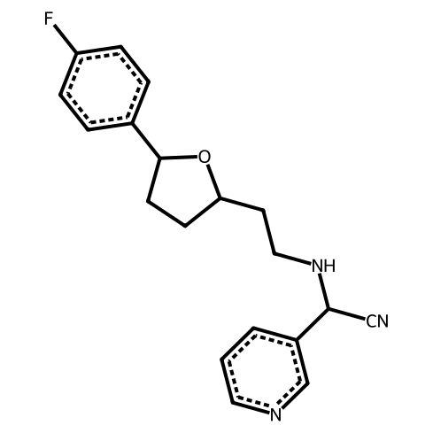 N#CC(NCCC1CCC(c2ccc(F)cc2)O1)c1cccnc1